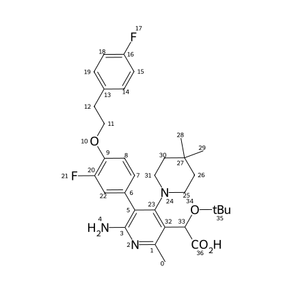 Cc1nc(N)c(-c2ccc(OCCc3ccc(F)cc3)c(F)c2)c(N2CCC(C)(C)CC2)c1C(OC(C)(C)C)C(=O)O